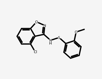 COc1ccccc1SNc1noc2cccc(Cl)c12